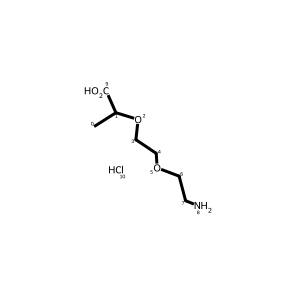 CC(OCCOCCN)C(=O)O.Cl